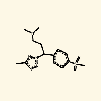 Cc1nnn(C(CCN(C)C)c2ccc(S(C)(=O)=O)cc2)n1